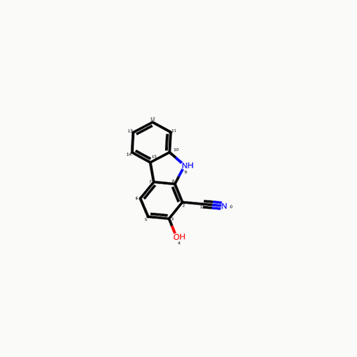 N#Cc1c(O)ccc2c1[nH]c1ccccc12